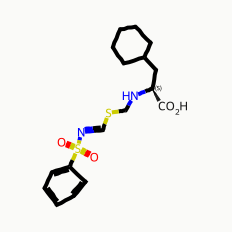 O=C(O)[C@H](CC1CCCCC1)NCSC=NS(=O)(=O)c1ccccc1